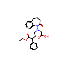 CCOC(=O)C(CCN(CC(=O)O)N1C(=O)CCCc2ccccc21)c1ccccc1